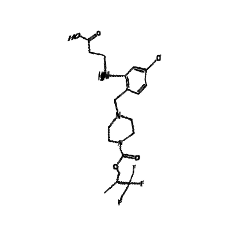 CC(OC(=O)N1CCN(Cc2ccc(Cl)cc2NCCC(=O)O)CC1)C(F)(F)F